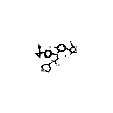 Cc1ccc(-c2c(C)noc2C)cc1N(CC(C)OC1CCNCC1)c1ccc(C2(C#N)CC2)cc1